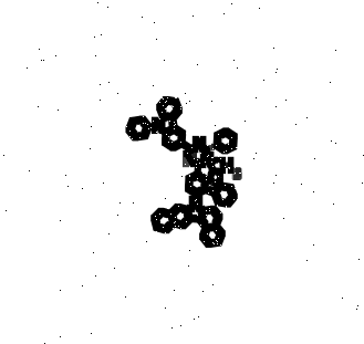 CN1C(c2ccc(-n3c4cc5ccccc5cc4c4c5ccccc5ccc43)c3c2oc2ccccc23)=NC(c2ccc3c(c2)c2ccccc2n3-c2ccccc2)=N[C@@H]1c1ccccc1